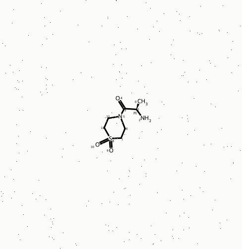 C[C@@H](N)C(=O)N1CCS(=O)(=O)CC1